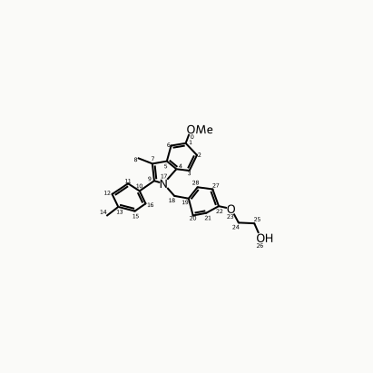 COc1ccc2c(c1)c(C)c(-c1ccc(C)cc1)n2Cc1ccc(OCCO)cc1